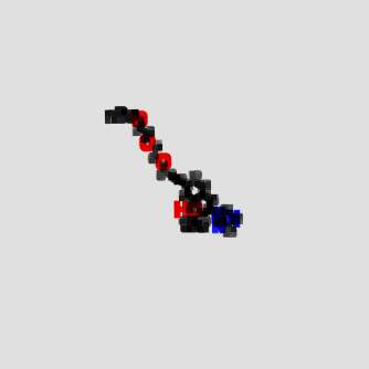 CCCCOCCOCCOCC#Cc1ccc(/C=C(\C(O)C(C)(C)C)n2cncn2)cc1